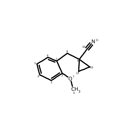 COc1ccccc1CC1(C#N)CC1